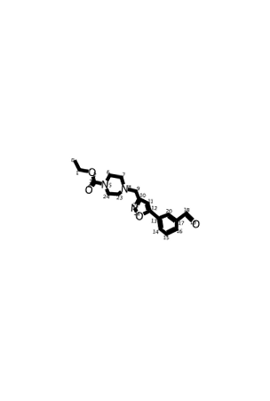 CCOC(=O)N1CCN(Cc2cc(-c3cccc(C=O)c3)on2)CC1